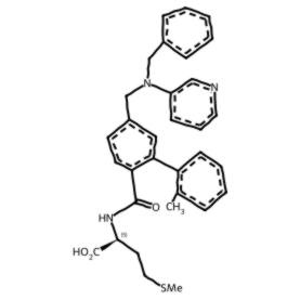 CSCC[C@H](NC(=O)c1ccc(CN(Cc2ccccc2)c2cccnc2)cc1-c1ccccc1C)C(=O)O